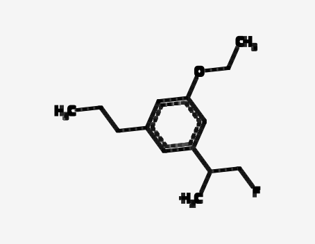 [CH2]C(CF)c1cc(CCC)cc(OCC)c1